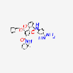 CC1(C)CCCCC1NC(=O)c1ccc(-c2ccccc2C(=O)Nc2ccc(C(=N)N)cc2)c(C(=O)OCc2ccccc2)c1